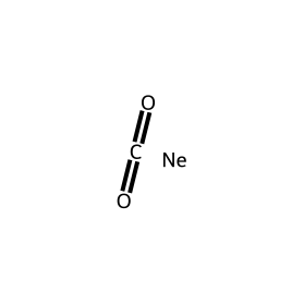 O=C=O.[Ne]